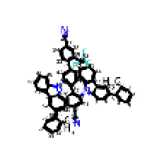 Cc1ccccc1-c1ccc2c(c1)c1ccccc1n2-c1cc(C#N)ccc1-c1ccc(-c2ccc(C#N)cc2C(F)(F)F)cc1-n1c2ccccc2c2cc(-c3ccccc3C)ccc21